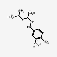 N[C@@H](CC(NNc1ccc([N+](=O)[O-])c(C(=O)O)c1)C(=O)O)C(=O)O